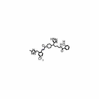 Cc1nnn(Cc2cc(C(F)(F)F)ccc2/C=C/C(=O)N2CCC(C(CCCNC(=O)c3ccccc3O)c3c[nH]nn3)CC2)n1